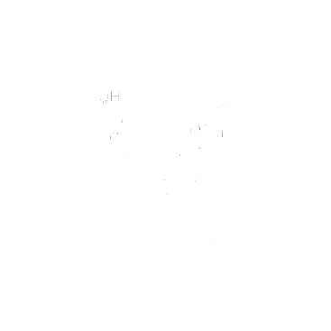 C=CC(=O)OCCc1cc(-c2ccccc2)ccc1-c1ccc(OCCO)cc1